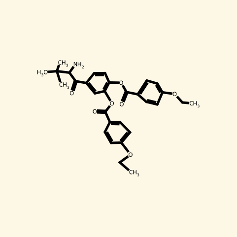 CCOc1ccc(C(=O)Oc2ccc(C(=O)C(N)C(C)(C)C)cc2OC(=O)c2ccc(OCC)cc2)cc1